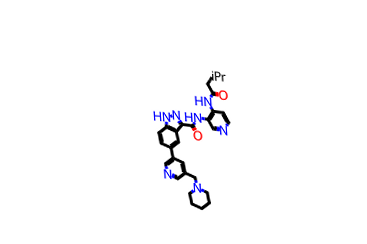 CC(C)CC(=O)Nc1ccncc1NC(=O)c1n[nH]c2ccc(-c3cncc(CN4CCCCC4)c3)cc12